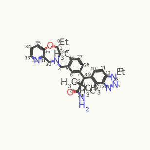 CC[C@@H]1CN(Cc2cc(C(c3ccc4c(nnn4CC)c3C)C(C)(C)C(N)=O)ccc2C)Cc2ncccc2O1